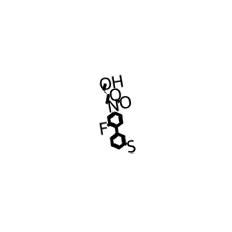 CSc1cccc(-c2ccc(N3C[C@H](CO)OC3=O)cc2F)c1